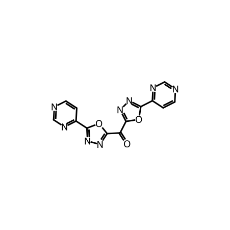 O=C(c1nnc(-c2ccncn2)o1)c1nnc(-c2ccncn2)o1